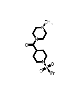 CC(C)S(=O)(=O)N1CCC(C(=O)N2CCN(C)CC2)CC1